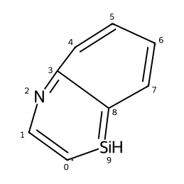 [c]1cnc2ccccc2[siH]1